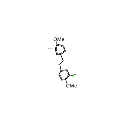 COc1ccc(C[CH]c2ccc(OC)c(F)c2)cc1C